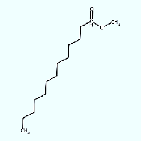 CCCCCCCCCCCC[PH](=O)OC